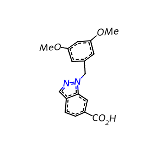 COc1cc(Cn2ncc3ccc(C(=O)O)cc32)cc(OC)c1